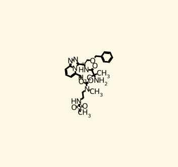 CN(CCNS(C)(=O)=O)C(=O)OCc1cccc2nnc([C@@H](COCc3ccccc3)NC(=O)C(C)(C)N)n12